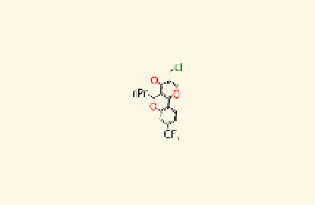 CCCC1Oc2cc(C(F)(F)F)ccc2-c2occ(CCl)c(=O)c21